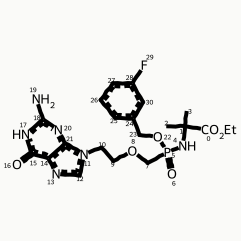 CCOC(=O)C(C)(C)NP(=O)(COCCn1cnc2c(=O)[nH]c(N)nc21)OCc1cccc(F)c1